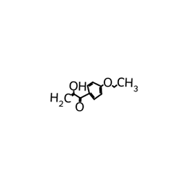 C=C(O)C(=O)c1ccc(OCC)cc1